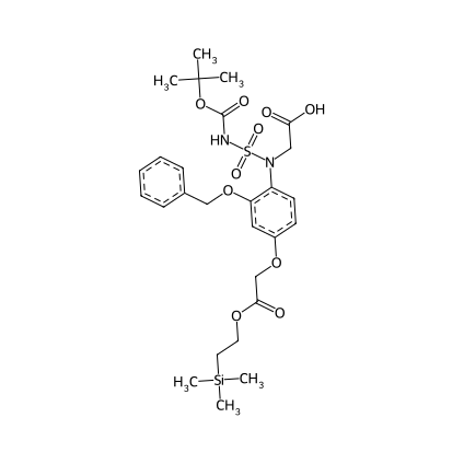 CC(C)(C)OC(=O)NS(=O)(=O)N(CC(=O)O)c1ccc(OCC(=O)OCC[Si](C)(C)C)cc1OCc1ccccc1